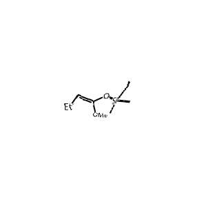 CC/C=C(\OC)O[Si](C)(C)C